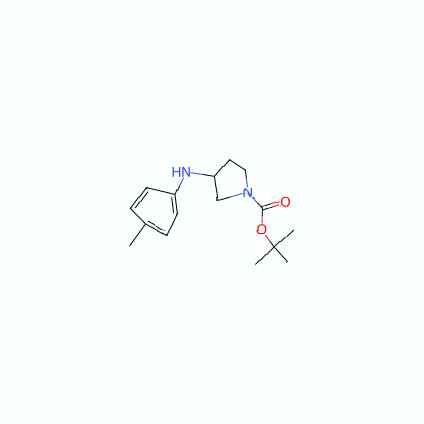 Cc1ccc(NC2CCN(C(=O)OC(C)(C)C)C2)cc1